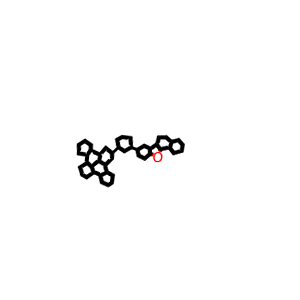 c1cc(-c2ccc3oc4c5ccccc5ccc4c3c2)cc(-c2cc3c4ccccc4c4cccc5c6ccccc6c(c2)c3c45)c1